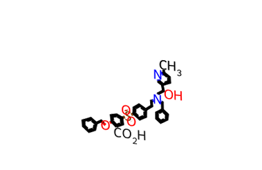 Cc1ccc([C@H](O)CN(CCc2ccc(S(=O)(=O)c3ccc(OCc4ccccc4)c(C(=O)O)c3)cc2)Cc2ccccc2)cn1